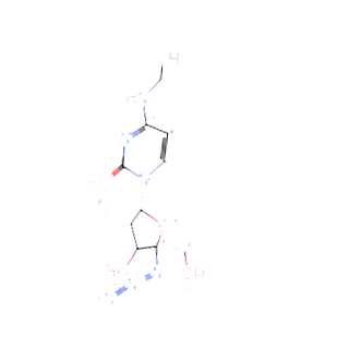 CCNc1ccn([C@@H]2O[C@@](CO)(N=[N+]=[N-])C(O)[C@@H]2F)c(=O)n1